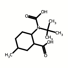 CC1CCC(N(C(=O)O)C(C)(C)C)C(C(=O)O)C1